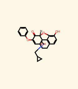 O=C1C(Oc2ccccc2)=C[C@@]2(O)C3Cc4ccc(O)c5c4[C@@]2(CCN3CC2CC2)[C@H]1O5